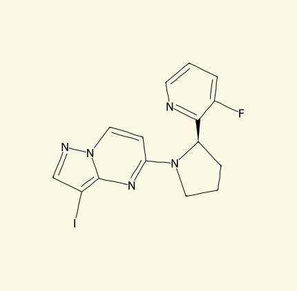 Fc1cccnc1[C@H]1CCCN1c1ccn2ncc(I)c2n1